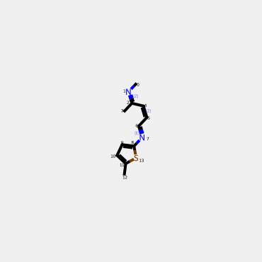 C\N=C(C)/C=C\C=N\c1ccc(C)s1